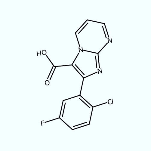 O=C(O)c1c(-c2cc(F)ccc2Cl)nc2ncccn12